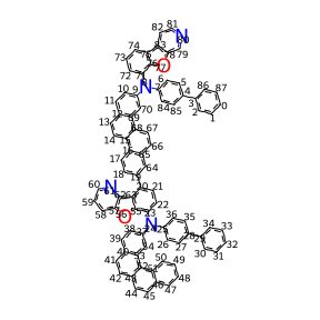 c1ccc(-c2ccc(N(c3ccc4ccc5c6ccc(-c7ccc(N(c8ccc(-c9ccccc9)cc8)c8ccc9ccc%10ccc%11ccccc%11c%10c9c8)c8oc9cccnc9c78)cc6ccc5c4c3)c3cccc4c3oc3cnccc34)cc2)cc1